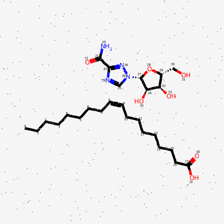 CCCCCCCC/C=C\CCCCCCCC(=O)O.NC(=O)c1ncn([C@@H]2O[C@H](CO)[C@@H](O)[C@H]2O)n1